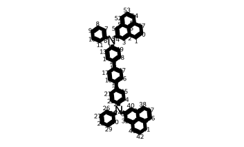 C1=Cc2cc(N(c3ccccc3)c3ccc(-c4ccc(-c5ccc(N(c6ccccc6)c6cc7c8c(cccc8c6)CC=C7)cc5)cc4)cc3)cc3cccc(c23)C1